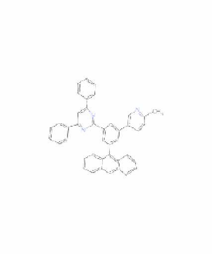 Cc1ccc(-c2cc(-c3nc(-c4ccccc4)cc(-c4ccccc4)n3)cc(-c3c4ccccc4cc4ccccc34)c2)cn1